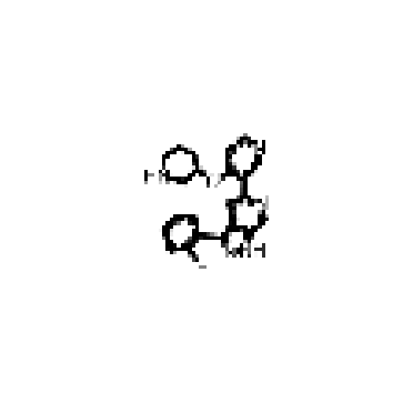 Fc1ccccc1-c1n[nH]c2cnc(-c3cnccc3OC3CCCNC3)cc12